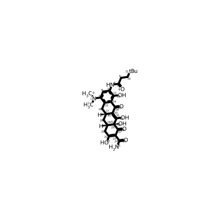 CN(C)c1cc(NC(=O)CCC(C)(C)C)c(O)c2c1C[C@H]1C[C@H]3CC(O)=C(C(N)=O)C(=O)[C@@]3(O)C(O)=C1C2=O